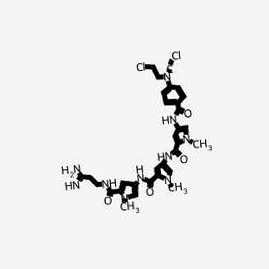 Cn1cc(NC(=O)c2cc(NC(=O)c3cc(NC(=O)c4ccc(N(CCCl)CCCl)cc4)cn3C)cn2C)cc1C(=O)NCCC(=N)N